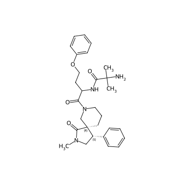 CN1C[C@@H](c2ccccc2)[C@@]2(CCCN(C(=O)C(CCOc3ccccc3)NC(=O)C(C)(C)N)C2)C1=O